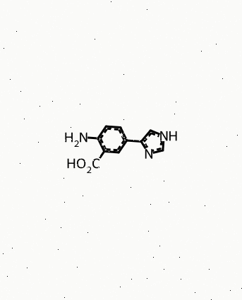 Nc1ccc(-c2c[nH]cn2)cc1C(=O)O